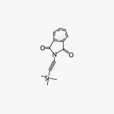 C[Si](C)(C)C#CN1C(=O)c2ccccc2C1=O